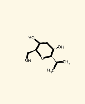 CC(C)[C@@H]1O[C@@H](CO)C(O)C[C@@H]1O